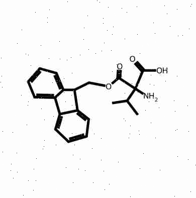 CC(C)C(N)(C(=O)O)C(=O)OCC1c2ccccc2-c2ccccc21